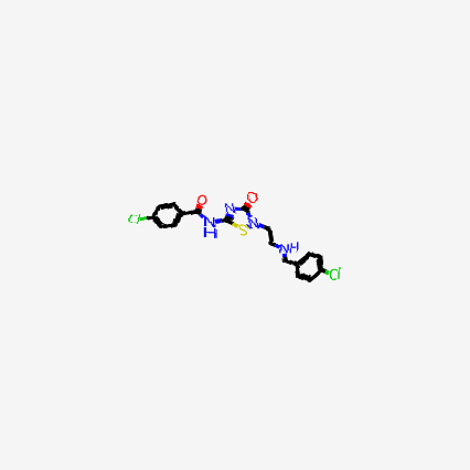 O=C(Nc1nc(=O)n(CCNCc2ccc(Cl)cc2)s1)c1ccc(Cl)cc1